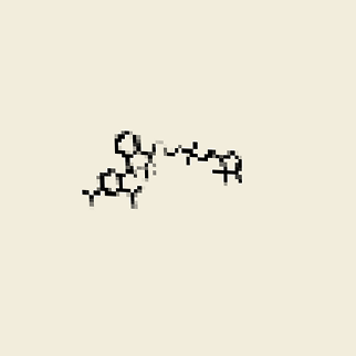 CC1=CCC(/C=C/C(C)(C)CCOC(=O)c2ccccc2C(=O)c2ccc(C(C)C)cc2C(C)C)C1(C)C